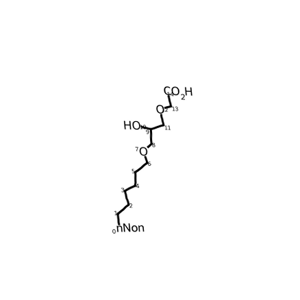 CCCCCCCCCCCCCCCOCC(O)COCC(=O)O